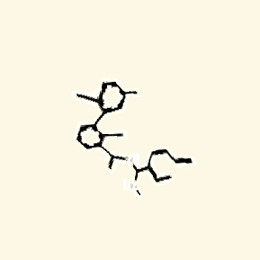 C=C/C=C\C(=C/C)C(NC)NC(C)c1cccc(-c2cc(C)ccc2C)c1C